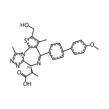 COc1ccc(-c2ccc(C3=N[C@@H](C(C)C(=O)O)c4nnc(C)n4-c4sc(CO)c(C)c43)cc2)cc1